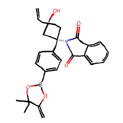 C=C[C@]1(O)C[C@](c2ccc(B3OC(=C)C(C)(C)O3)cc2)(N2C(=O)c3ccccc3C2=O)C1